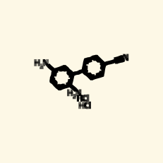 Cl.Cl.N#Cc1ccc(-c2cc(N)ccc2N)cc1